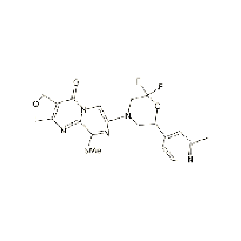 CSc1nc(N2CC(c3ccnc(C)c3)OC(F)(F)C2)cn2c(=O)c3c(nc12)COC3